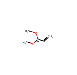 C=C[SiH](OC)O[SiH3]